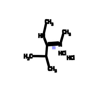 C/N=C(\NC)C(C)C.Cl.Cl